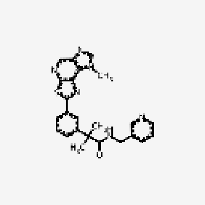 Cn1cnc2cnc3sc(-c4cccc(C(C)(C)C(=O)NCc5cccnc5)c4)nc3c21